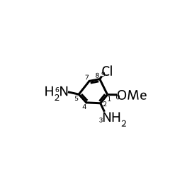 COc1c(N)cc(N)cc1Cl